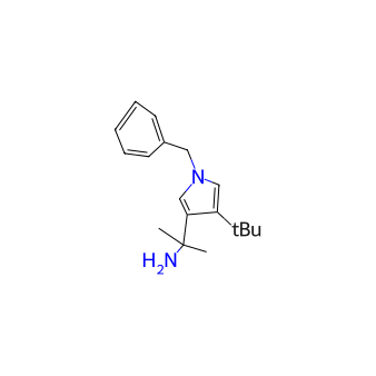 CC(C)(C)c1cn(Cc2ccccc2)cc1C(C)(C)N